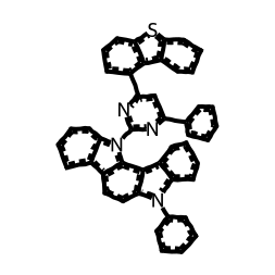 c1ccc(-c2cc(-c3cccc4sc5ccccc5c34)nc(-n3c4ccccc4c4ccc5c(c6ccccc6n5-c5ccccc5)c43)n2)cc1